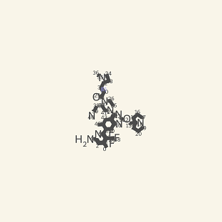 Cc1cc(N)nc(C2Cc3nc(OCC45CCCN4CCC5)nc(N4CCN(C(=O)/C=C/C5CCN5C)[C@@H](CC#N)C4)c3CC2C)c1C(F)(F)F